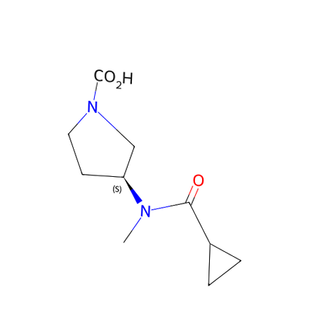 CN(C(=O)C1CC1)[C@H]1CCN(C(=O)O)C1